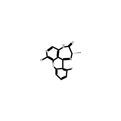 C[C@@H]1N=C(c2c(F)cccc2F)c2c(cnc(Cl)c2Cl)NC1=O